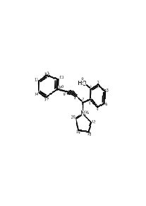 Oc1ccccc1C(C#Cc1ccccc1)N1CCCC1